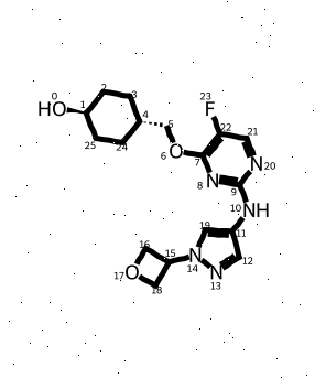 O[C@H]1CC[C@H](COc2nc(Nc3cnn(C4COC4)c3)ncc2F)CC1